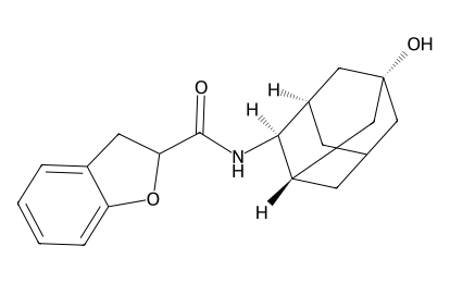 O=C(N[C@H]1[C@@H]2CC3C[C@H]1C[C@](O)(C3)C2)C1Cc2ccccc2O1